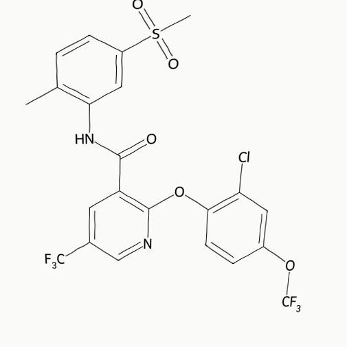 Cc1ccc(S(C)(=O)=O)cc1NC(=O)c1cc(C(F)(F)F)cnc1Oc1ccc(OC(F)(F)F)cc1Cl